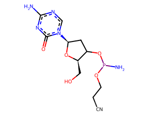 N#CCCOP(N)OC1C[C@H](n2cnc(N)nc2=O)O[C@@H]1CO